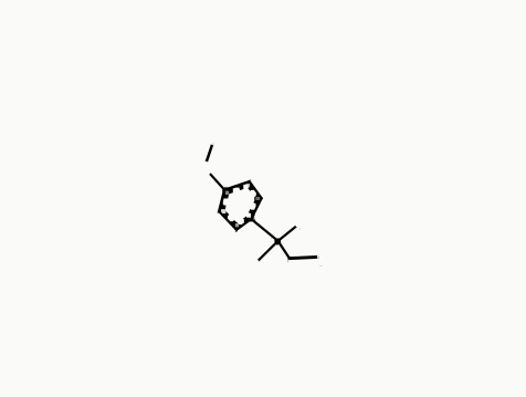 CCOc1ccc(C(C)(C)CC(C)C)cc1